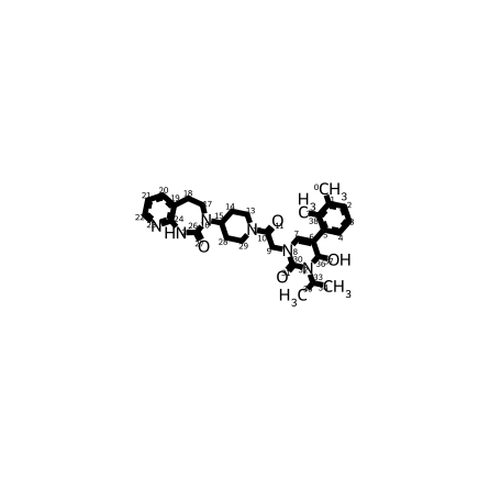 Cc1cccc(C2=CN(CC(=O)N3CCC(N4CCc5cccnc5NC4=O)CC3)C(=O)N(C(C)C)C2O)c1C